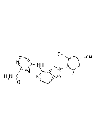 N#Cc1cc(Cl)c(-n2cc3c(Nc4c[c]nc(C(N)=O)n4)nccc3n2)c(Cl)c1